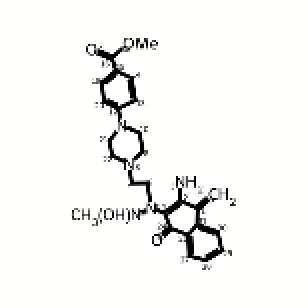 C=C1C(N)=C(N(CCN2CCN(c3ccc(C(=O)OC)cc3)CC2)N(C)O)C(=O)c2ccccc21